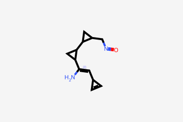 N/C(=C\C1C=C1)C1CC1C1CC1CN=O